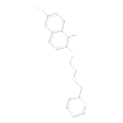 N#Cc1ccc2c(Cl)c(OCCNCc3ccccn3)ccc2c1